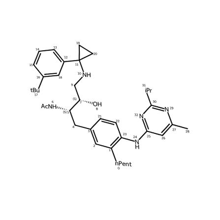 CCCCCc1cc(C[C@H](NC(C)=O)[C@@H](O)CNC2(c3cccc(C(C)(C)C)c3)CC2)ccc1Nc1cc(C)nc(C(C)C)n1